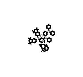 C[C@@H]1CC2CC3CC34C[C@]3(c5cc6c7c(n5)N(c5ccccc5)c5cc(N(c8ccccc8)c8ccccc8)ccc5B7c5cc7c(cc5N6c5ccc6c(c5)C(C)(C)CC6(C)C)C(C)(C)CC7(C)C)CC3=C1[C@H]4C2